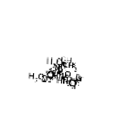 COc1ccc(-n2nc(C(C)(C)C)cc2NC(=O)Nc2cccc(Br)c2)cc1